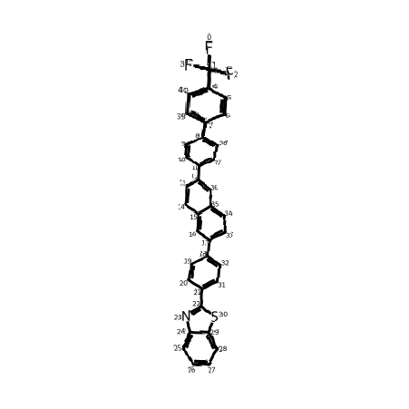 FC(F)(F)c1ccc(-c2ccc(-c3ccc4cc(-c5ccc(-c6nc7ccccc7s6)cc5)ccc4c3)cc2)cc1